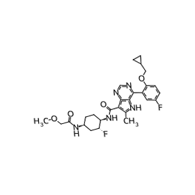 COCC(=O)N[C@H]1CC[C@@H](NC(=O)c2c(C)[nH]c3c(-c4cc(F)ccc4OCC4CC4)ncnc23)[C@H](F)C1